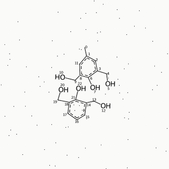 Cc1cc(CO)c(O)c(CO)c1.OCc1cccc(CO)c1O